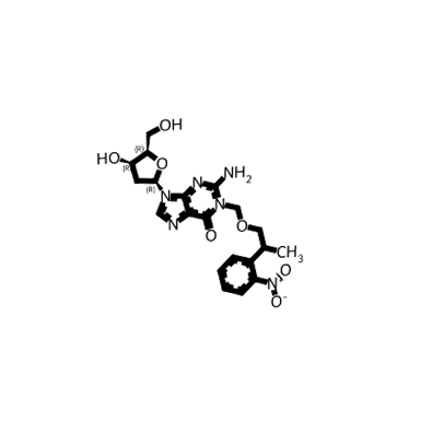 CC(COCn1c(N)nc2c(ncn2[C@H]2C[C@@H](O)[C@@H](CO)O2)c1=O)c1ccccc1[N+](=O)[O-]